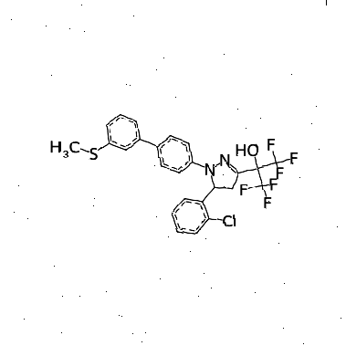 CSc1cccc(-c2ccc(N3N=C(C(O)(C(F)(F)F)C(F)(F)F)CC3c3ccccc3Cl)cc2)c1